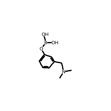 CN(C)Cc1cccc(OB(O)O)c1